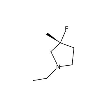 CCN1CC[C@@](C)(F)C1